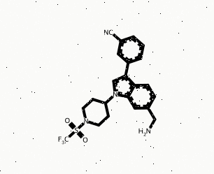 N#Cc1cccc(-c2cn(C3CCN(S(=O)(=O)C(F)(F)F)CC3)c3cc(CN)ccc23)c1